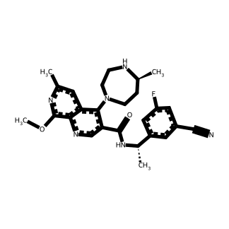 COc1nc(C)cc2c(N3CCN[C@@H](C)CC3)c(C(=O)N[C@@H](C)c3cc(F)cc(C#N)c3)cnc12